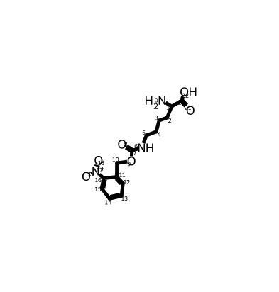 NC(CCCCNC(=O)OCc1ccccc1[N+](=O)[O-])C(=O)O